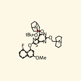 COc1cc(Oc2nc3c(N4CC5CCC(C4)N5C(=O)OC(C)(C)C)nc(OCC45CCCN4CCC5)nc3s2)c2c(F)cccc2c1